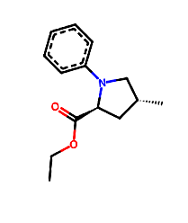 CCOC(=O)[C@@H]1C[C@@H](C)CN1c1ccccc1